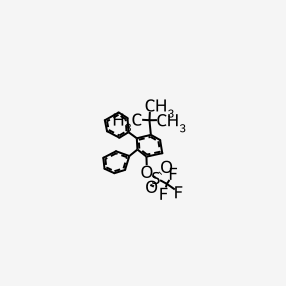 CC(C)(C)c1ccc(OS(=O)(=O)C(F)(F)F)c(-c2ccccc2)c1-c1ccccc1